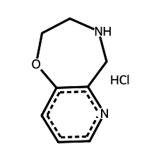 Cl.c1cnc2c(c1)OCCNC2